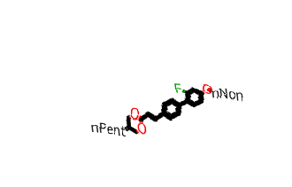 CCCCCCCCCOc1ccc(-c2ccc(CCC3OCC(CCCCC)CO3)cc2)c(F)c1